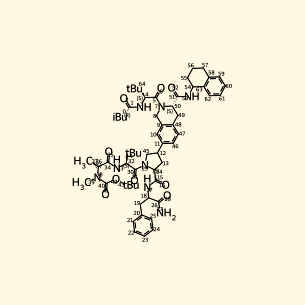 CC[C@@H](C)C(=O)N[C@H](C(=O)N1Cc2cc(C3C[C@@H](C(=O)NC(Cc4ccccc4)C(N)=O)N(C(=O)[C@@H](NC(=O)[C@H](C)N(C)C(=O)OC(C)(C)C)C(C)(C)C)C3)ccc2C[C@H]1C(=O)NC1CCCc2ccccc21)C(C)(C)C